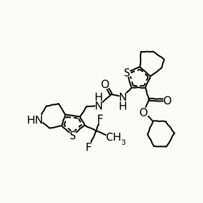 CC(F)(F)c1sc2c(c1CNC(=O)Nc1sc3c(c1C(=O)OC1CCCCC1)CCCC3)CCNC2